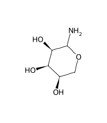 NC1OC[C@@H](O)[C@@H](O)[C@H]1O